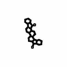 O=c1c2ccccc2c2c1ccc1c3ccc4c5ccccc5c(=O)c4c3ccc12